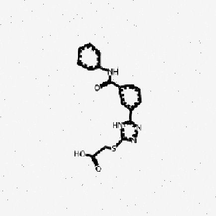 O=C(O)CSc1nnc(-c2cccc(C(=O)Nc3ccccc3)c2)[nH]1